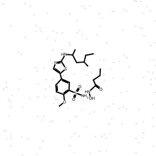 CCC(C)CC(C)Nc1ncc(-c2ccc(OC)c(S(N)(=O)=O)c2)s1.CCCC(=O)NO